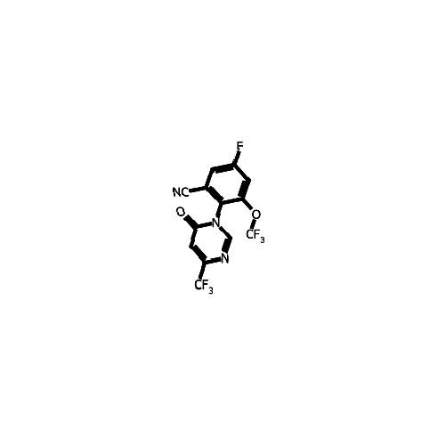 N#Cc1cc(F)cc(OC(F)(F)F)c1-n1cnc(C(F)(F)F)cc1=O